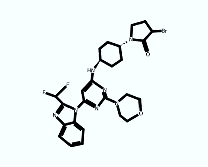 O=C1C(Br)CCN1[C@H]1CC[C@H](Nc2cc(-n3c(C(F)F)nc4ccccc43)nc(N3CCOCC3)n2)CC1